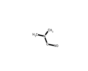 CN(C)ON=O